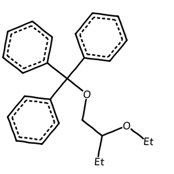 CCOC(CC)COC(c1ccccc1)(c1ccccc1)c1ccccc1